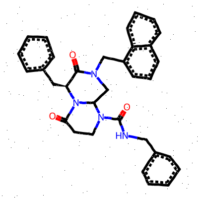 O=C1[C@H](Cc2ccccc2)N2C(=O)CCN(C(=O)NCc3ccccc3)C2CN1Cc1cccc2ccccc12